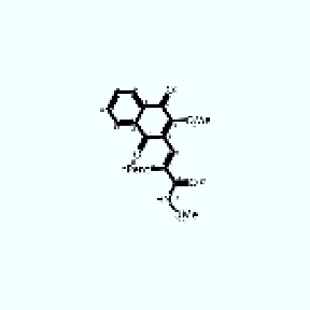 CCCCC/C(=C\C1=C(OC)C(=O)c2ccccc2C1=O)C(=O)NOC